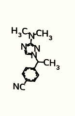 CC(c1ccc(C#N)cc1)n1cnc(N(C)C)n1